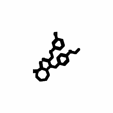 CCOc1ccc(CN(C(=O)COc2cccc(Cl)c2)[C@H]2CCCCNC2=O)cc1